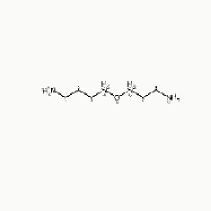 NCCC[SiH2]O[SiH2]CCN